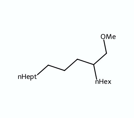 [CH2]OCC(CCCCCC)CCCCCCCCCC